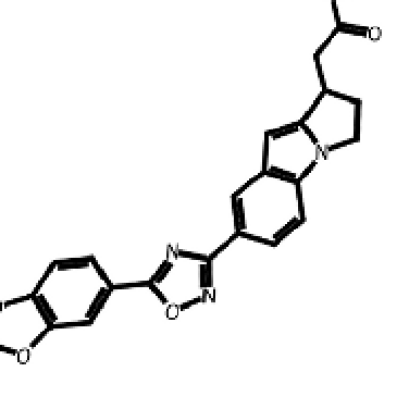 O=C(O)CC1CCn2c1cc1cc(-c3noc(-c4ccc5c(c4)OCO5)n3)ccc12